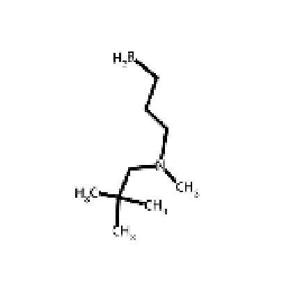 BCCCN(C)CC(C)(C)C